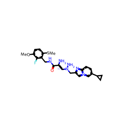 COc1ccc(SC)c(CNC(=O)/C(N)=C/N(N)Cc2cn3cc(C4CC4)ccc3n2)c1F